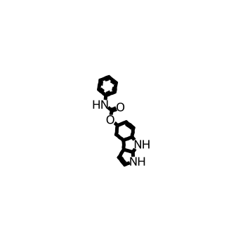 O=C(Nc1ccccc1)OC1C=CC2NC3NC=CC3C2C1